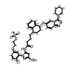 CC(C)(C)c1cc(NC(=O)CCCC2CC[C@@H](Oc3ccc4nnc(N5CCCCC5)n4c3)c3ccccc32)n(-c2cc(OCCOS(C)(=O)=O)ccc2Cl)n1